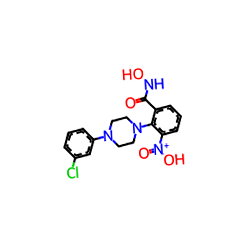 O=C(NO)c1cccc([N+](=O)O)c1N1CCN(c2cccc(Cl)c2)CC1